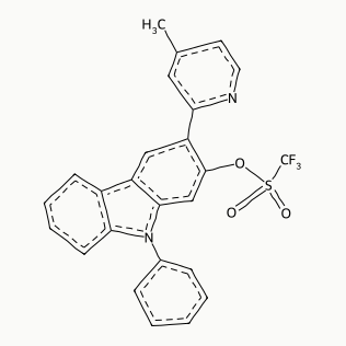 Cc1ccnc(-c2cc3c4ccccc4n(-c4ccccc4)c3cc2OS(=O)(=O)C(F)(F)F)c1